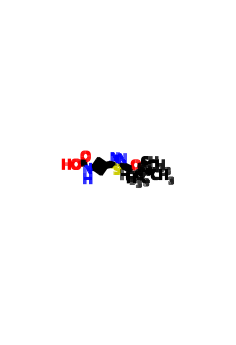 C[C@@H](O[Si](C)(C)C(C)(C)C)c1nnc(C2CC(NC(=O)O)C2)s1